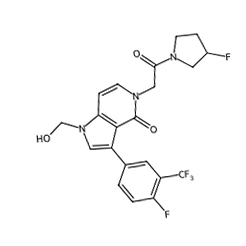 O=C(Cn1ccc2c(c(-c3ccc(F)c(C(F)(F)F)c3)cn2CO)c1=O)N1CCC(F)C1